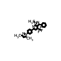 Cc1cc(C)n(-c2ccc(-c3cc(C(F)(F)F)c4c(-c5ccccc5)nn(C)c4n3)cc2)n1